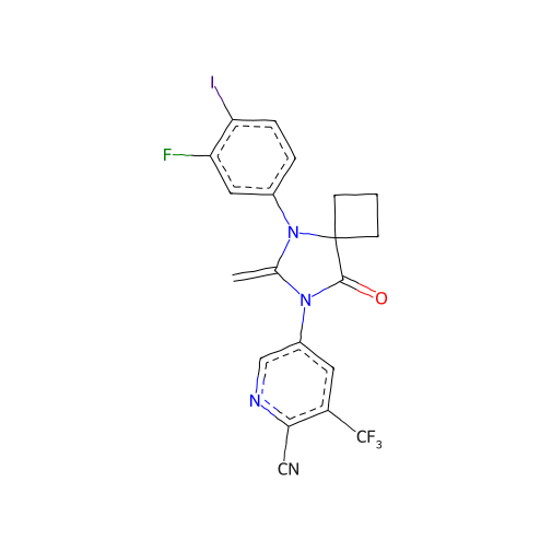 C=C1N(c2cnc(C#N)c(C(F)(F)F)c2)C(=O)C2(CCC2)N1c1ccc(I)c(F)c1